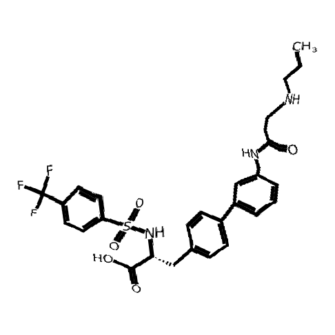 CCCNCC(=O)Nc1cccc(-c2ccc(C[C@@H](NS(=O)(=O)c3ccc(C(F)(F)F)cc3)C(=O)O)cc2)c1